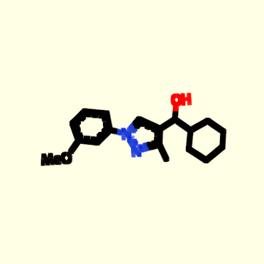 COc1cccc(-n2cc(C(O)C3CCCCC3)c(C)n2)c1